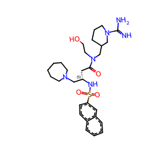 N=C(N)N1CCCC(CN(CCO)C(=O)C[C@@H](CN2CCCCCC2)NS(=O)(=O)c2ccc3ccccc3c2)C1